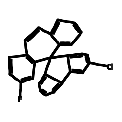 Fc1ccc2c(c1)C1(c3ccccc3C=C2)c2ccccc2-c2cc(Cl)ccc21